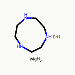 Br.C1CNCCNCCN1.[MgH2]